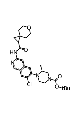 C[C@H]1CN(C(=O)OC(C)(C)C)CCN1c1cc2cc(NC(=O)C3CC34CCOCC4)ncc2cc1Cl